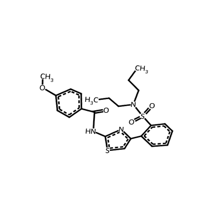 CCCN(CCC)S(=O)(=O)c1ccccc1-c1csc(NC(=O)c2ccc(OC)cc2)n1